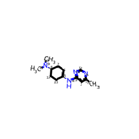 Cc1cc(N[C@H]2CC[C@@H](N(C)C)CC2)ncn1